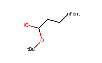 CCCCCCCC(O)OC(C)(C)C